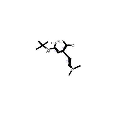 CN(C)/C=C/C(/C=C(\N)NC(C)(C)C)=C(/N)Cl